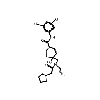 CCN(CC1(O)CCN(C(=O)Nc2cc(Cl)cc(Cl)c2)CC1)C(=O)CC1CCCC1